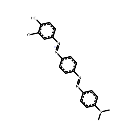 CN(C)c1ccc(N=Nc2ccc(/N=N/c3ccc(O)c(Cl)c3)cc2)cc1